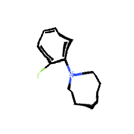 Fc1ccccc1N1C[CH]CCC1